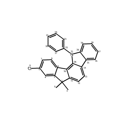 CC1(C)c2cc(Cl)ccc2-c2c1ccc1c3ccccc3n(-c3ccccc3)c21